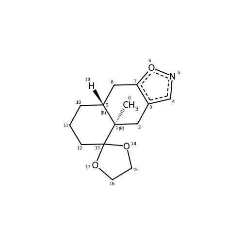 C[C@@]12Cc3cnoc3C[C@H]1CCCC21OCCO1